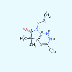 C=CCN1C(=O)C(C)(C)c2cc(C)nnc21